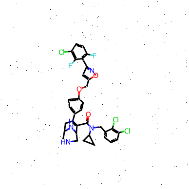 O=C(C1=C(c2ccc(OCc3cc(-c4c(F)ccc(Cl)c4F)no3)cc2)CC2CNCC1N2)N(Cc1cccc(Cl)c1Cl)C1CC1